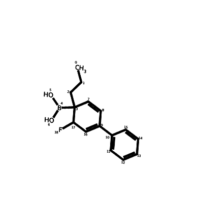 CCCC1(B(O)O)C=CC(c2ccccc2)=CC1F